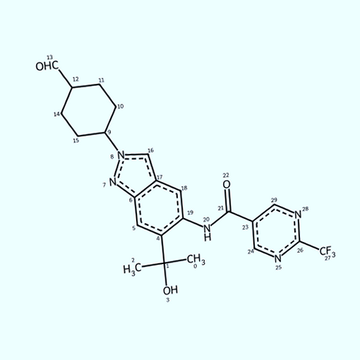 CC(C)(O)c1cc2nn(C3CCC(C=O)CC3)cc2cc1NC(=O)c1cnc(C(F)(F)F)nc1